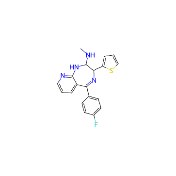 CNC1Nc2ncccc2C(c2ccc(F)cc2)=NC1c1cccs1